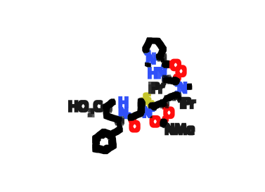 CNC(=O)O[C@H](C[C@H](C(C)C)N(C)C(=O)[C@@H](NC(=O)[C@H]1CCCCN1C)C(C)C)c1nc(C(=O)N[C@@H](Cc2ccccc2)C[C@H](C)C(=O)O)cs1